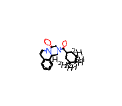 [2H]C1([2H])CC(C(=O)N2CC(=O)N3CCc4ccccc4[C@@H]3C2)CC([2H])([2H])C1([2H])[2H]